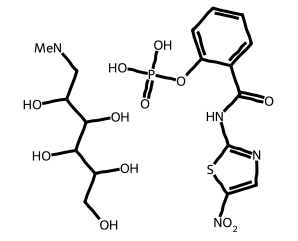 CNCC(O)C(O)C(O)C(O)CO.O=C(Nc1ncc([N+](=O)[O-])s1)c1ccccc1OP(=O)(O)O